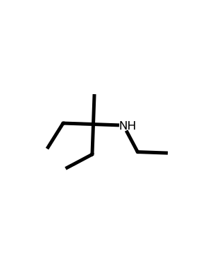 CCNC(C)(CC)CC